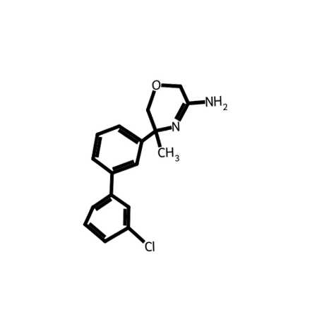 CC1(c2cccc(-c3cccc(Cl)c3)c2)COCC(N)=N1